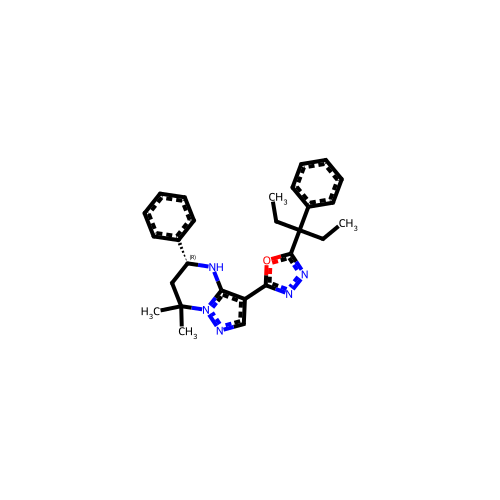 CCC(CC)(c1ccccc1)c1nnc(-c2cnn3c2N[C@@H](c2ccccc2)CC3(C)C)o1